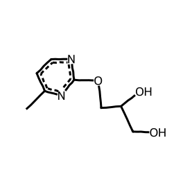 Cc1ccnc(OCC(O)CO)n1